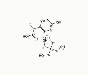 CC(C(=O)O)c1ccc(S)cc1.OCC(CO)(CO)CO